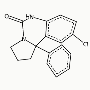 O=C1Nc2ccc(Cl)cc2C2(c3ccccc3)CCCN12